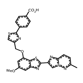 COc1cc(OCc2csc(-c3ccc(C(=O)O)cc3)n2)c2sc(-c3cn4nc(C)ccc4n3)nc2c1